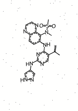 C=C(C)c1cnc(Nc2cn[nH]c2)nc1Nc1ccc2nccnc2c1N(C)S(C)(=O)=O